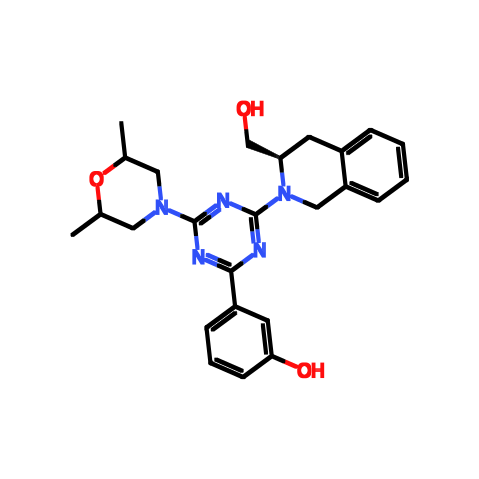 CC1CN(c2nc(-c3cccc(O)c3)nc(N3Cc4ccccc4C[C@@H]3CO)n2)CC(C)O1